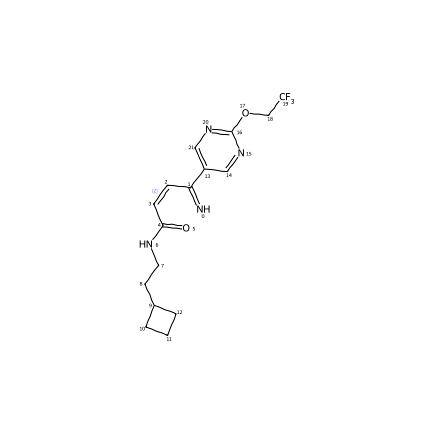 N=C(/C=C\C(=O)NCCC1CCC1)c1cnc(OCC(F)(F)F)nc1